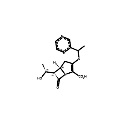 CC(SC1=C(C(=O)O)N2C(=O)[C@H]([C@@H](C)O)[C@H]2C1)c1cnccn1